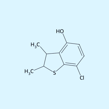 CC1Sc2c(Cl)ccc(O)c2C1C